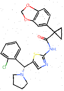 O=C(Nc1ncc([C@@H](c2ccccc2Cl)N2C[CH]CC2)s1)C1(c2ccc3c(c2)OCO3)CC1